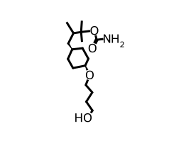 CC(C[C@H]1CC[C@@H](OCCCCO)CC1)C(C)(C)OC(N)=O